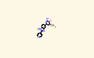 CC1CC(c2ccc3[nH]c(-c4ccncc4)nc3c2)=NNC1=O